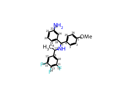 COc1ccc(C(N[C@H](C)c2cc(F)c(F)c(F)c2)c2cccc(N)c2)cc1